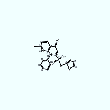 Cc1ccc2c(=O)cc(S(=O)(=O)Cc3ccco3)n(-c3ccccc3)c2n1